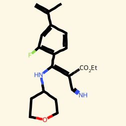 C=C(C)c1ccc(/C(NC2CCOCC2)=C(/C=N)C(=O)OCC)c(F)c1